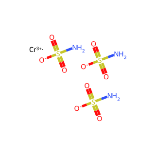 NS(=O)(=O)[O-].NS(=O)(=O)[O-].NS(=O)(=O)[O-].[Cr+3]